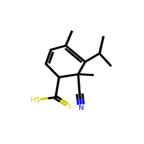 CC1=C(C(C)C)C(C)(C#N)C(C(=S)S)C=C1